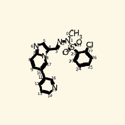 CN(N=Cc1cnc2ccc(-c3cccnc3)cn12)S(=O)(=O)c1ccccc1Cl